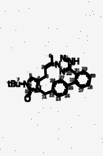 CC=CCc1cn(C(C)(C)C)c(=O)n1Cc1ccc(-c2ccccc2-c2nnn[nH]2)cc1